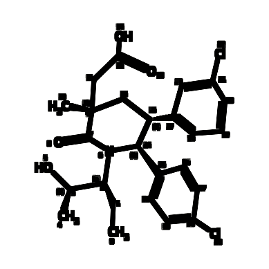 CC[C@@H]([C@@H](C)O)N1C(=O)[C@](C)(CC(=O)O)C[C@H](c2cccc(Cl)c2)[C@H]1c1ccc(Cl)cc1